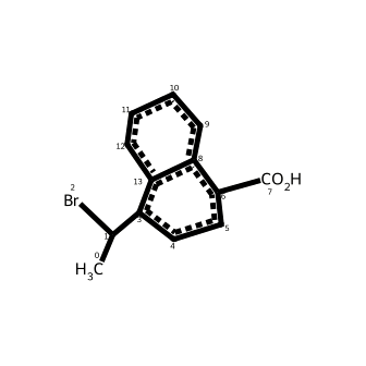 CC(Br)c1ccc(C(=O)O)c2ccccc12